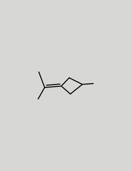 CC(C)=C1CC(C)C1